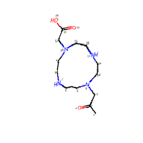 CC(=O)CN1CCNCCN(CC(=O)O)CCNCC1